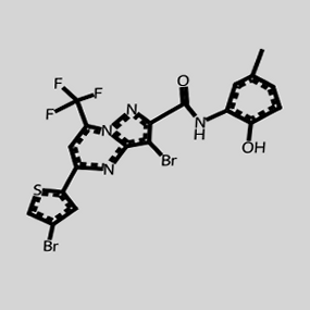 Cc1ccc(O)c(NC(=O)c2nn3c(C(F)(F)F)cc(-c4cc(Br)cs4)nc3c2Br)c1